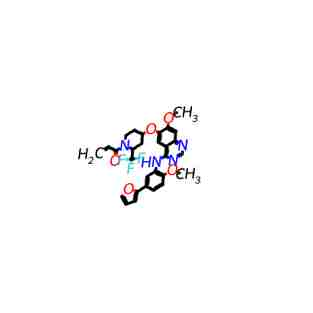 C=CC(=O)N1CCC(Oc2cc3c(Nc4cc(-c5ccco5)ccc4OC)ncnc3cc2OC)CC1C(F)(F)F